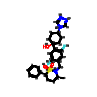 C[C@H]1CC[C@@H](c2ccccc2)S(=O)(=O)N1Cc1cc(F)c([C@]2(O)CC[C@@H](n3cnnc3)CC2)cc1F